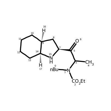 CCCCN(C(=O)OCC)C(C)C(=O)[C@@H]1C[C@@H]2CCCC[C@@H]2N1